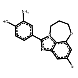 Nc1cc(-c2nc3cc(Br)cc4c3n2CCCO4)ccc1O